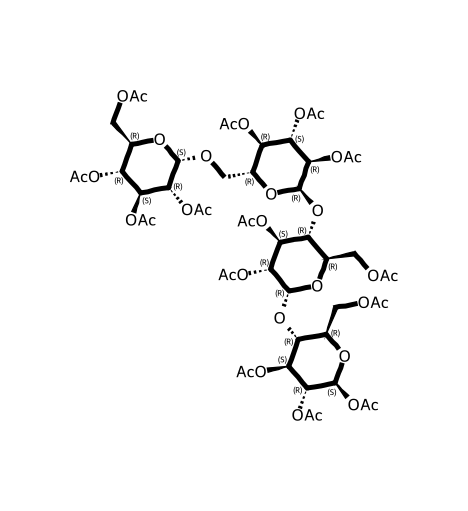 CC(=O)OC[C@H]1O[C@H](OC[C@H]2O[C@H](O[C@H]3[C@H](OC(C)=O)[C@@H](OC(C)=O)[C@@H](O[C@H]4[C@H](OC(C)=O)[C@@H](OC(C)=O)[C@H](OC(C)=O)O[C@@H]4COC(C)=O)O[C@@H]3COC(C)=O)[C@H](OC(C)=O)[C@@H](OC(C)=O)[C@@H]2OC(C)=O)[C@H](OC(C)=O)[C@@H](OC(C)=O)[C@@H]1OC(C)=O